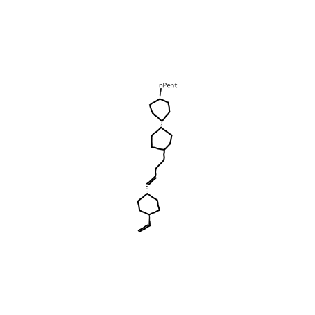 C=C[C@H]1CC[C@H](/C=C/CCC2CCC([C@H]3CC[C@H](CCCCC)CC3)CC2)CC1